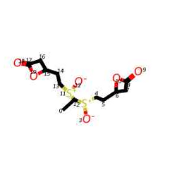 CC([S+]([O-])CCC1CC(=O)O1)[S+]([O-])CCC1CC(=O)O1